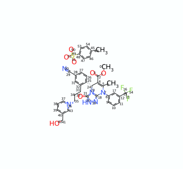 COC(=O)C1=C(C)N(c2cccc(C(F)(F)F)c2)c2n[nH]c(=O)n2[C@@H]1c1ccc(C#N)cc1CCC[n+]1cccc(CO)c1.Cc1ccc(S(=O)(=O)[O-])cc1